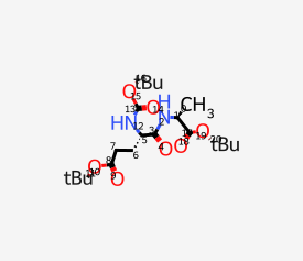 C[C@H](NC(=O)[C@H](CCC(=O)OC(C)(C)C)NC(=O)OC(C)(C)C)C(=O)OC(C)(C)C